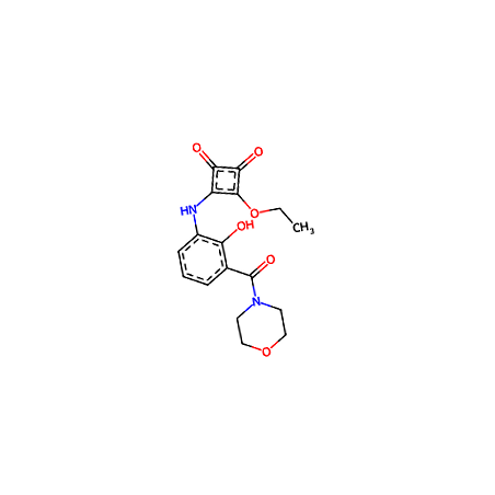 CCOc1c(Nc2cccc(C(=O)N3CCOCC3)c2O)c(=O)c1=O